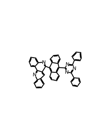 c1ccc(-c2nc(-c3ccccc3)nc(-c3c4ccccc4c(-c4nc5ccccc5c5nc6ccccc6cc45)c4ccccc34)n2)cc1